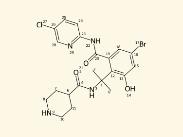 CC(C)(NC(=O)C1CCNCC1)c1c(O)cc(Br)cc1C(=O)Nc1ccc(Cl)cn1